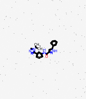 CC(C)n1cnnc1-c1cccc(NC(=O)c2cc(-c3ccccc3)[nH]n2)c1